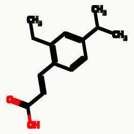 CCc1cc(C(C)C)ccc1C=CC(=O)O